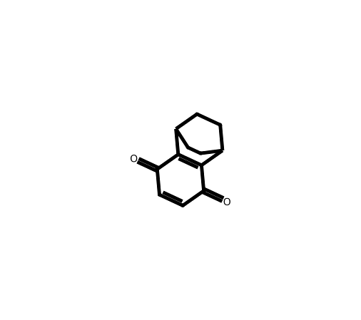 O=C1C=CC(=O)C2=C1C1CCC2CC1